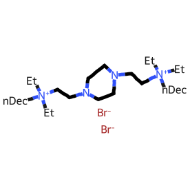 CCCCCCCCCC[N+](CC)(CC)CCN1CCN(CC[N+](CC)(CC)CCCCCCCCCC)CC1.[Br-].[Br-]